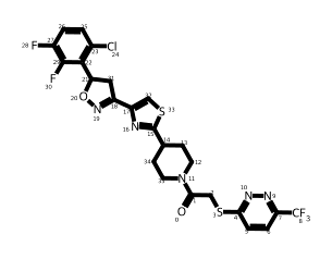 O=C(CSc1ccc(C(F)(F)F)nn1)N1CCC(c2nc(C3=NOC(c4c(Cl)ccc(F)c4F)C3)cs2)CC1